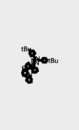 CC(C)(C)c1ccc(-c2nc(-c3ccc(C(C)(C)C)cc3)nc(-n3c4ccc5sc6ccc7c8ccccc8n8c9cccc3c9c4c5c6c78)n2)cc1